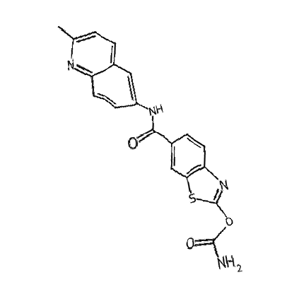 Cc1ccc2cc(NC(=O)c3ccc4nc(OC(N)=O)sc4c3)ccc2n1